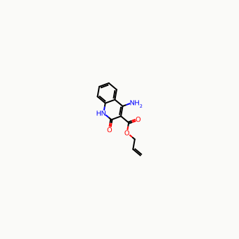 C=CCOC(=O)c1c(N)c2ccccc2[nH]c1=O